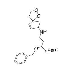 CCCCCC(CCNC1C=CC2(CCOO2)C1)OCc1ccccc1